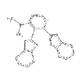 CN(C)c1cc[c]c(-c2cc3ccccc3s2)c1-c1cc2ccccc2s1